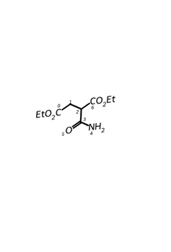 CCOC(=O)CC(C(N)=O)C(=O)OCC